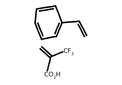 C=C(C(=O)O)C(F)(F)F.C=Cc1ccccc1